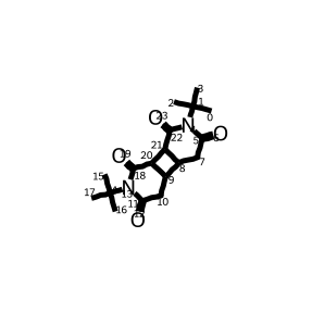 CC(C)(C)N1C(=O)CC2C3CC(=O)N(C(C)(C)C)C(=O)C3C2C1=O